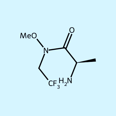 CON(CC(F)(F)F)C(=O)[C@@H](C)N